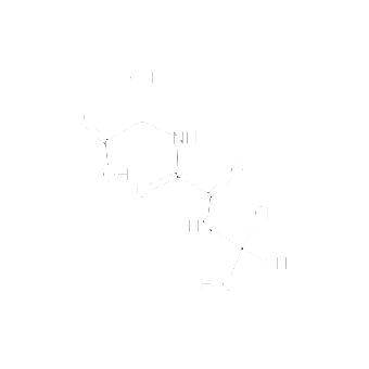 C[C@H](NC(=O)C(=O)NC(C)(C)C)C(=O)O